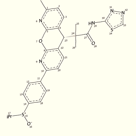 Cc1ccc2c(n1)Oc1nc(-c3ccc([S+]([O-])C(C)C)cc3)ccc1[C@H]2C(C)(C)C(=O)Nc1nncs1